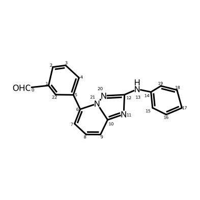 O=Cc1cccc(-c2cccc3nc(Nc4ccccc4)nn23)c1